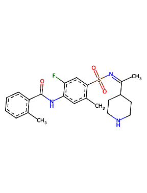 C/C(=N/S(=O)(=O)c1cc(F)c(NC(=O)c2ccccc2C)cc1C)C1CCNCC1